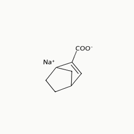 O=C([O-])C1=CC2CCC1C2.[Na+]